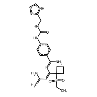 C=C(N)/C=C(\N=C(/N)c1ccc(NC(=O)NCc2ncc[nH]2)cc1)C1(S(=O)(=O)CC)CCC1